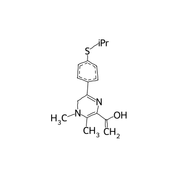 C=C(O)C1=C(C)N(C)CC(c2ccc(SC(C)C)cc2)=N1